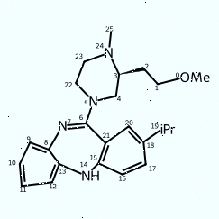 COCC[C@H]1CN(C2=Nc3ccccc3Nc3ccc(C(C)C)cc32)CCN1C